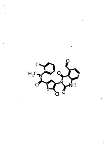 CN(C(=O)c1cc(-n2c(=O)[nH]c3cccc(C=O)c3c2=O)c(Cl)s1)c1ccccc1Cl